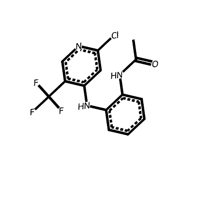 CC(=O)Nc1ccccc1Nc1cc(Cl)ncc1C(F)(F)F